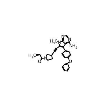 C=CC(=O)N1CCC(C#Cc2c(-c3ccc(Oc4ccccc4)cc3)c3c(N)ncnc3n2C)C1